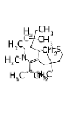 C=C(CC(C)(C)CC)/C(CC1(CC)CCSCC1)=C(/C(=C)C)N(C)CC